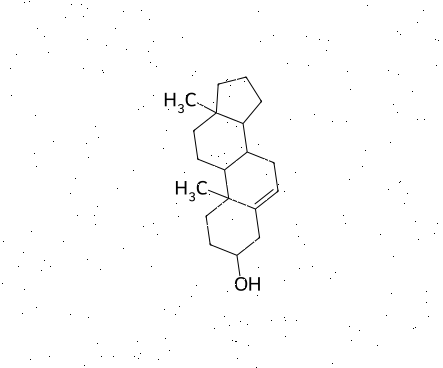 CC12CCCC1C1CC=C3CC(O)CCC3(C)C1CC2